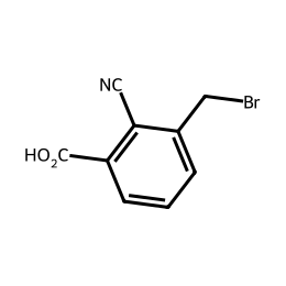 N#Cc1c(CBr)cccc1C(=O)O